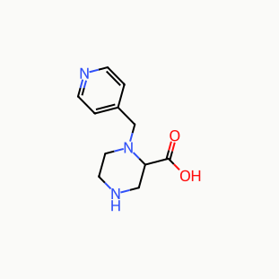 O=C(O)C1CNCCN1Cc1ccncc1